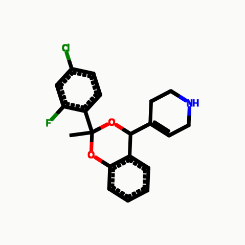 CC1(c2ccc(Cl)cc2F)Oc2ccccc2C(C2=CCNCC2)O1